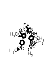 CCOC(=O)[C@H]1CC[C@@H](c2ccc(Nc3nc(Nc4ccc(CP(=O)(OCC)OCC)cc4OC)ncc3C(F)(F)F)c3c2CN(C)C3=O)CC1